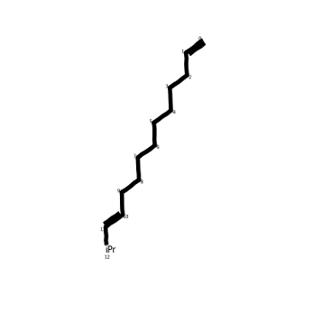 C=CCCCCCCCCC=CC(C)C